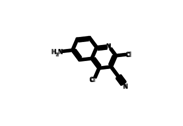 N#Cc1c(Cl)nc2ccc(N)cc2c1Cl